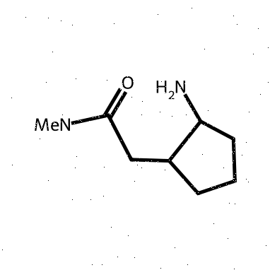 CNC(=O)CC1CCCC1N